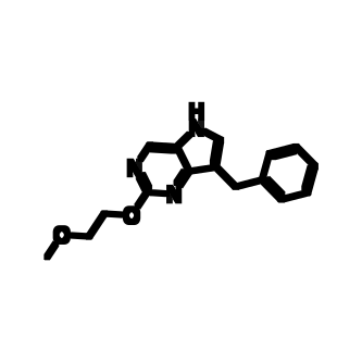 COCCOc1ncc2[nH]cc(Cc3ccccc3)c2n1